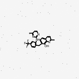 Cc1ccnc(Nc2cc(C(F)(F)F)ccc2Cc2ccc3ccc(C)nc3c2O)n1